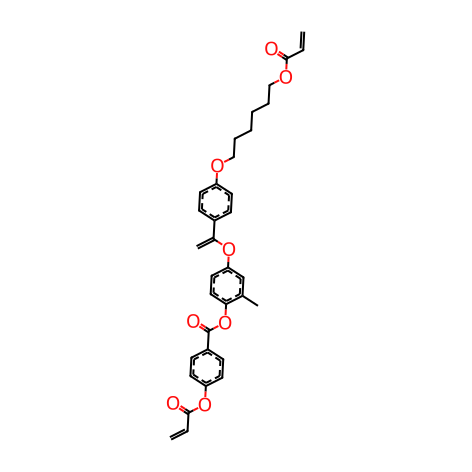 C=CC(=O)OCCCCCCOc1ccc(C(=C)Oc2ccc(OC(=O)c3ccc(OC(=O)C=C)cc3)c(C)c2)cc1